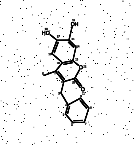 Cc1c(Cc2ccccc2)c(=O)oc2cc(O)c(O)cc12